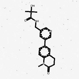 CN1C(=O)CCc2cc(-c3cncc(CNC(=O)C(C)(C)O)c3)ccc21